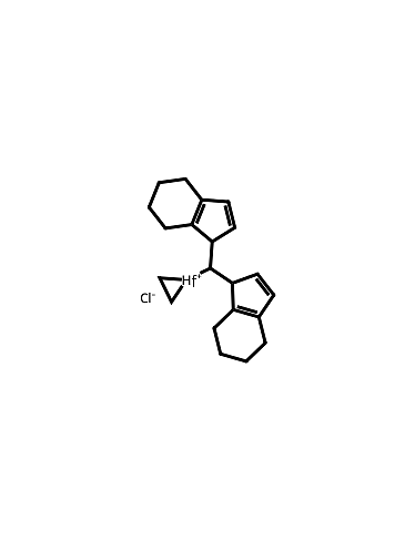 C1=CC([CH](C2C=CC3=C2CCCC3)[Hf+]2[CH2][CH2]2)C2=C1CCCC2.[Cl-]